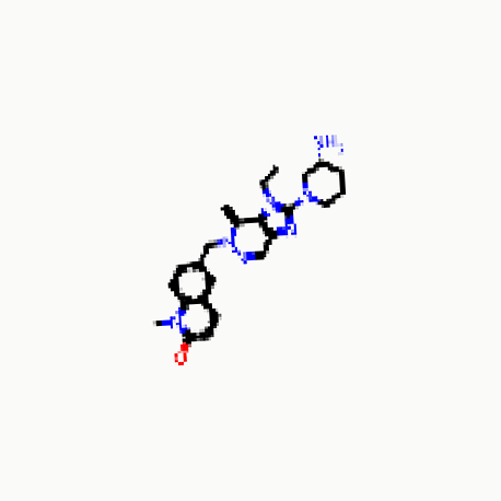 C=C1c2c(nc(N3CCC[C@@H](N)C3)n2CC)C=NN1Cc1ccc2c(ccc(=O)n2C)c1